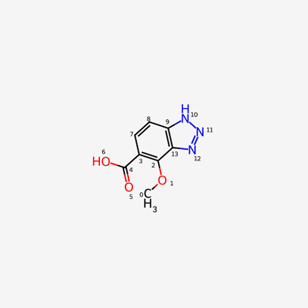 COc1c(C(=O)O)ccc2[nH]nnc12